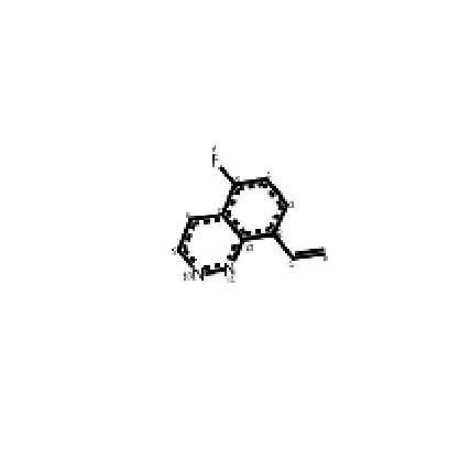 C=Cc1ccc(F)c2ccnnc12